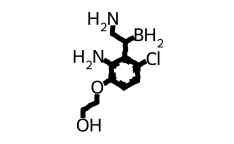 BC(CN)c1c(Cl)ccc(OCCO)c1N